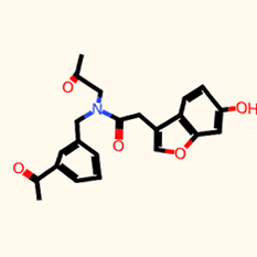 CC(=O)CN(Cc1cccc(C(C)=O)c1)C(=O)Cc1coc2cc(O)ccc12